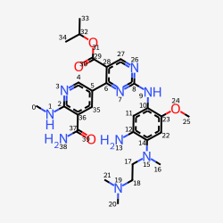 CNc1ncc(-c2nc(Nc3cc(N)c(N(C)CCN(C)C)cc3OC)ncc2C(=O)OC(C)C)cc1C(N)=O